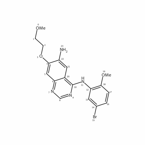 COCCOc1cc2ncnc(Nc3cc(Br)ccc3OC)c2cc1N